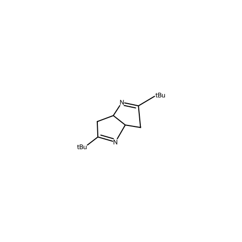 CC(C)(C)C1=NC2CC(C(C)(C)C)=NC2C1